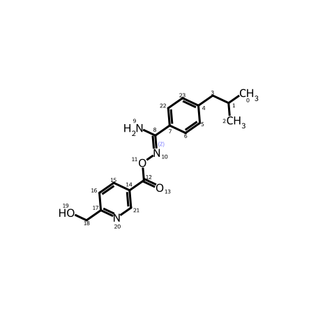 CC(C)Cc1ccc(/C(N)=N/OC(=O)c2ccc(CO)nc2)cc1